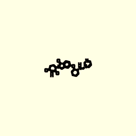 O=C1CCC(N2Cc3cc(OC4CCCCC4NCN4C=CC=NC4)ccc3C2=O)C(=O)N1